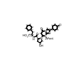 CCCCCn1c(N2C[C@@H](O)C[C@H]2C(=O)N[C@@H](Cc2ccccc2)C(=O)O)cc(=O)n2cc(-c3ccc(Cl)cc3)nc12